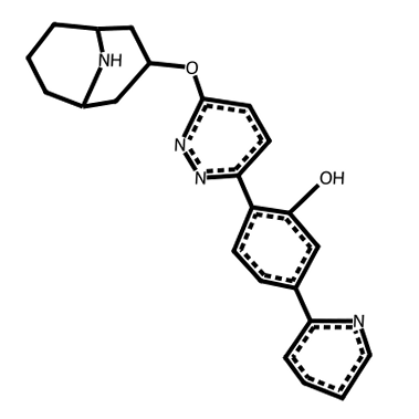 Oc1cc(-c2ccccn2)ccc1-c1ccc(OC2CC3CCCC(C2)N3)nn1